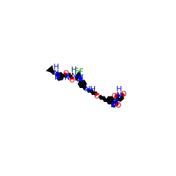 Cn1c(=O)n(C2CCC(=O)NC2=O)c2ccc(CCCCOCCCCNCc3ccc(-n4cc(NC(=O)c5coc(-c6ccnc(NCC7CC7)c6)n5)c(C(F)F)n4)cc3)cc21